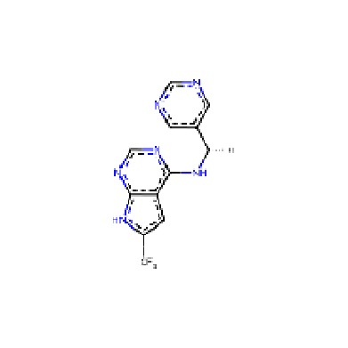 C[C@H](Nc1ncnc2[nH]c(C(F)(F)F)cc12)c1cncnc1